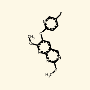 COc1nc2nc(SC)ncc2cc1Oc1ccc(F)cn1